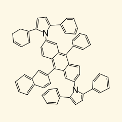 C1=CCCC(c2ccc(-c3ccccc3)n2-c2ccc3c(-c4ccc5ccccc5c4)c4cc(-n5c(-c6ccccc6)ccc5-c5ccccc5)ccc4c(-c4ccccc4)c3c2)=C1